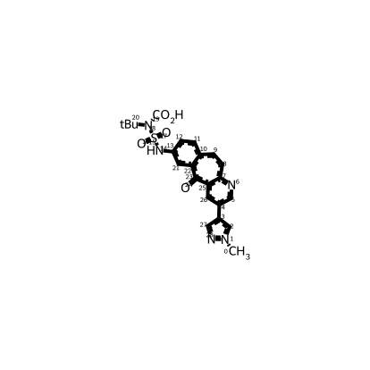 Cn1cc(-c2cnc3ccc4ccc(NS(=O)(=O)N(C(=O)O)C(C)(C)C)cc4c(=O)c3c2)cn1